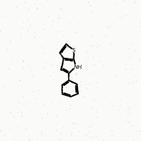 c1ccc(-c2cc3ccsc3[nH]2)cc1